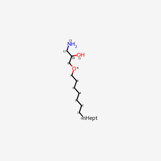 CCCCCCCCCCCCCCOCC(O)CN